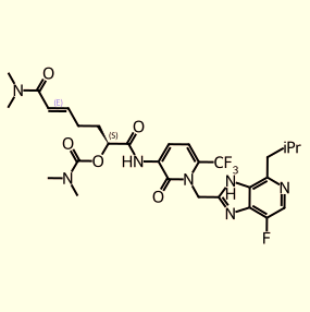 CC(C)Cc1ncc(F)c2nc(Cn3c(C(F)(F)F)ccc(NC(=O)[C@H](CC/C=C/C(=O)N(C)C)OC(=O)N(C)C)c3=O)[nH]c12